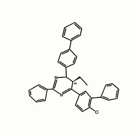 CC[C@H]1C(c2ccc(Cl)c(-c3ccccc3)c2)=NC(c2ccccc2)=NC1c1ccc(-c2ccccc2)cc1